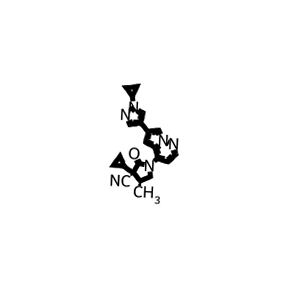 C[C@@H]1CN(c2ccnn3cc(-c4cnn(C5CC5)c4)cc23)C(=O)[C@]1(C#N)C1CC1